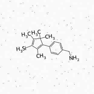 CC1=C(c2ccc(CN)cc2)C(C)(C)C(C)=C1[SiH3]